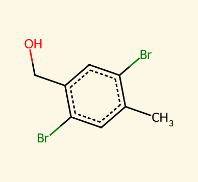 Cc1cc(Br)c(CO)cc1Br